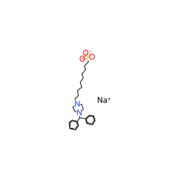 O=S(=O)([O-])CCCCCCCCCCN1CCN(C(c2ccccc2)c2ccccc2)CC1.[Na+]